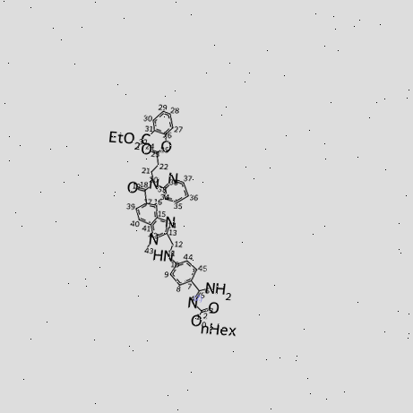 CCCCCCOC(=O)/N=C(\N)c1ccc(NCc2nc3cc(C(=O)N(CCC(=O)Oc4ccccc4C(=O)OCC)c4ccccn4)ccc3n2C)cc1